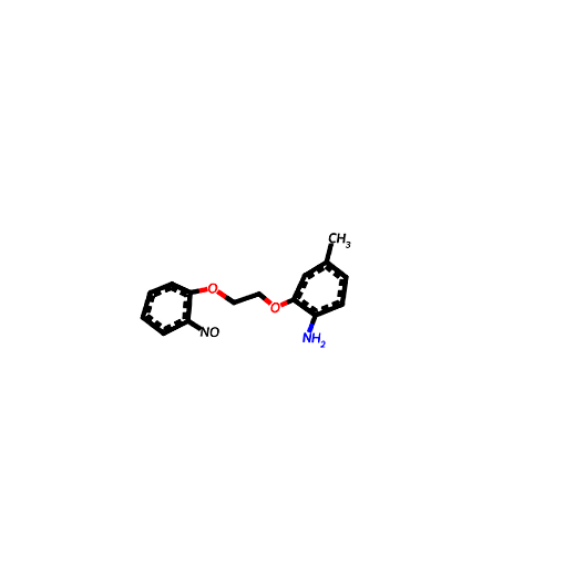 Cc1ccc(N)c(OCCOc2ccccc2N=O)c1